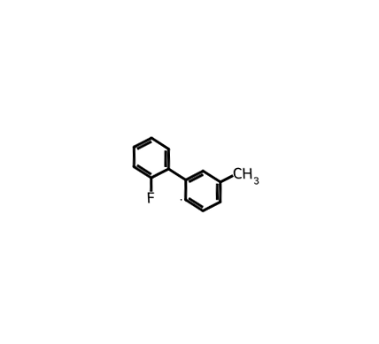 Cc1cc[c]c(-c2ccccc2F)c1